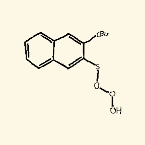 CC(C)(C)c1cc2ccccc2cc1SOOO